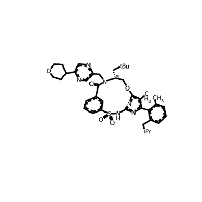 Cc1cccc(CC(C)C)c1-c1nc2nc(c1C)OC[C@@H](CC(C)(C)C)N(Cc1cnc(C3CCOCC3)cn1)C(=O)c1cccc(c1)S(=O)(=O)N2